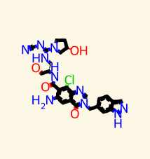 N#C/N=C(\NC[C@@H](C=O)NC(=O)c1c(N)cc2c(=O)n(Cc3ccc4cn[nH]c4c3)cnc2c1Cl)N1CC[C@H](O)C1